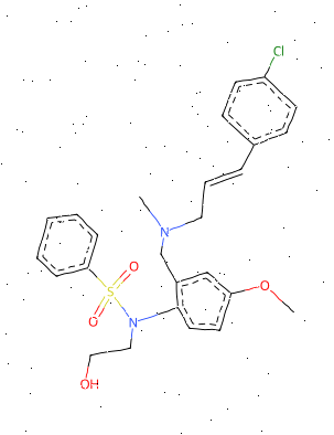 COc1ccc(N(CCO)S(=O)(=O)c2ccccc2)c(CN(C)CC=Cc2ccc(Cl)cc2)c1